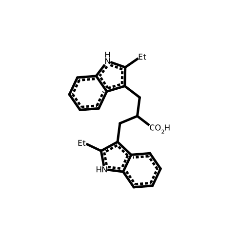 CCc1[nH]c2ccccc2c1CC(Cc1c(CC)[nH]c2ccccc12)C(=O)O